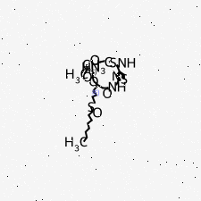 CCCCCCCC(=O)SCC/C=C/C1CC(=O)NCc2nc(cs2)C(=N)SCCC(=O)N[C@@H](C(C)C)C(=O)O1